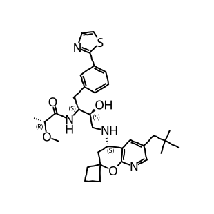 CO[C@H](C)C(=O)N[C@@H](Cc1cccc(-c2nccs2)c1)[C@@H](O)CN[C@H]1CC2(CCC2)Oc2ncc(CC(C)(C)C)cc21